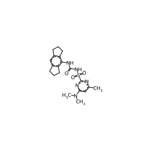 Cc1cc(N(C)C)nc(S(=O)(=O)NC(=O)Nc2c3c(cc4c2CCC4)CCC3)n1